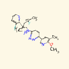 COc1ncc(-c2ccc(NC[C@@](C)(C[C@@H](C)F)c3ncccc3F)nn2)cc1C